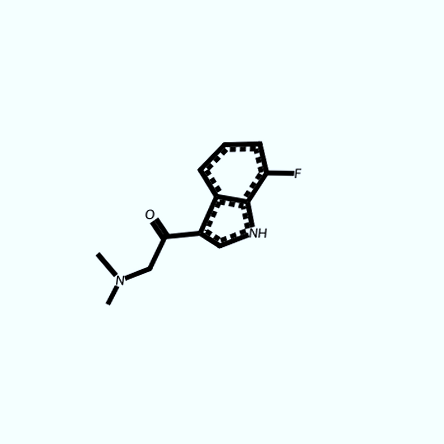 CN(C)CC(=O)c1c[nH]c2c(F)cccc12